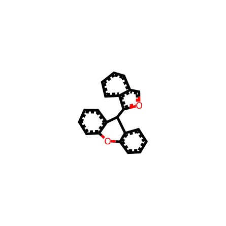 c1ccc2c(c1)Oc1ccccc1C2c1occ2ccccc12